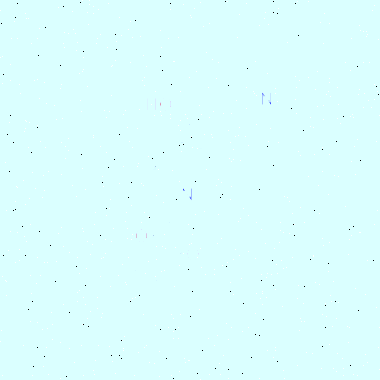 CC(C)(C)OC(=O)N1C[C@@H](C#N)[C@@H](O)C1